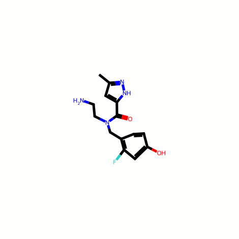 Cc1cc(C(=O)N(CCN)Cc2ccc(O)cc2F)[nH]n1